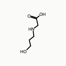 O=C(O)CNCCCO